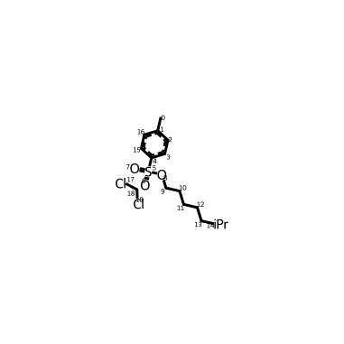 Cc1ccc(S(=O)(=O)OCCCCCC(C)C)cc1.ClCCl